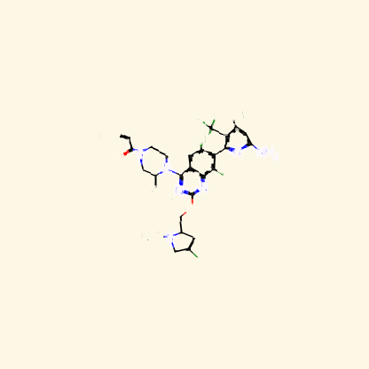 C=CC(=O)N1CCN(c2nc(OCC3CC(F)CN3C)nc3c(F)c(-c4nc(N)cc(C)c4C(F)(F)F)c(Cl)cc23)C(C)C1